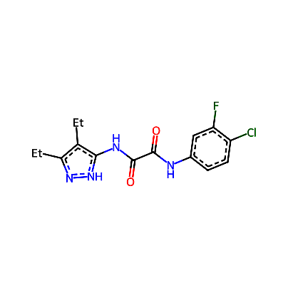 CCc1n[nH]c(NC(=O)C(=O)Nc2ccc(Cl)c(F)c2)c1CC